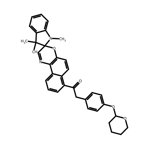 CN1c2ccccc2C(C)(C)C12C=Nc1c(ccc3c(C(=O)Cc4ccc(OC5CCCCO5)cc4)cccc13)O2